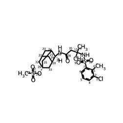 Cc1c(Cl)cccc1S(=O)(=O)NC(C)(C)CC(=O)N[C@H]1C2CC3CC1C[C@](OS(C)(=O)=O)(C3)C2